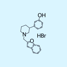 Br.Oc1cccc(C2CCCN(Cc3cc4ccccc4o3)C2)c1